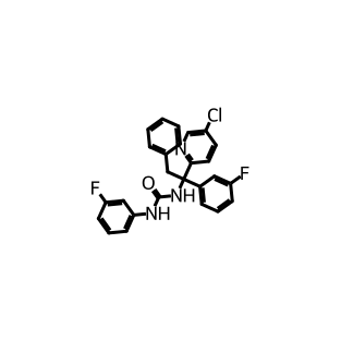 O=C(Nc1cccc(F)c1)NC(Cc1ccccc1)(c1cccc(F)c1)c1ccc(Cl)cn1